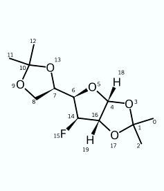 CC1(C)O[C@H]2O[C@H]([C@H]3COC(C)(C)O3)[C@H](F)[C@H]2O1